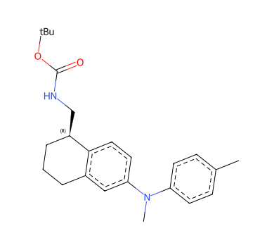 Cc1ccc(N(C)c2ccc3c(c2)CCC[C@H]3CNC(=O)OC(C)(C)C)cc1